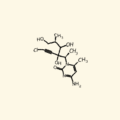 Cc1cc(N)nc(=O)n1[C@H](C)C(O)(C#CCl)C(O)[C@H](C)CO